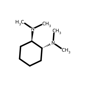 CN(C)[C@@H]1CCCC[C@H]1N(C)C